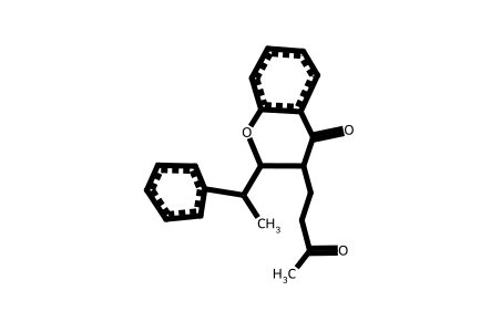 CC(=O)CCC1C(=O)c2ccccc2OC1C(C)c1ccccc1